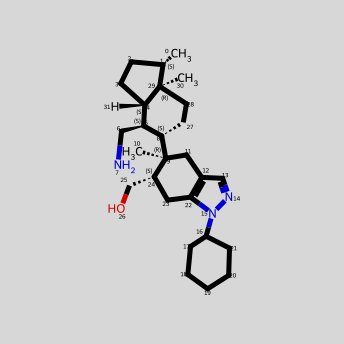 C[C@H]1CC[C@H]2[C@H](CN)[C@@H]([C@@]3(C)Cc4cnn(C5CCCCC5)c4C[C@@H]3CO)CC[C@]12C